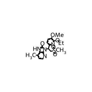 CCOc1nc(C(CS(C)(=O)=O)n2c(=O)[nH]c3c(C)ccnc32)ccc1OC